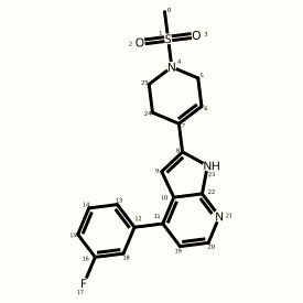 CS(=O)(=O)N1CC=C(c2cc3c(-c4cccc(F)c4)ccnc3[nH]2)CC1